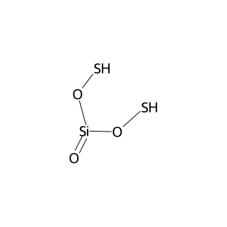 O=[Si](OS)OS